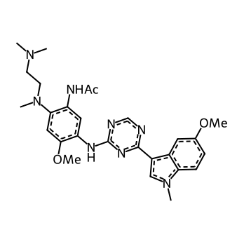 COc1ccc2c(c1)c(-c1ncnc(Nc3cc(NC(C)=O)c(N(C)CCN(C)C)cc3OC)n1)cn2C